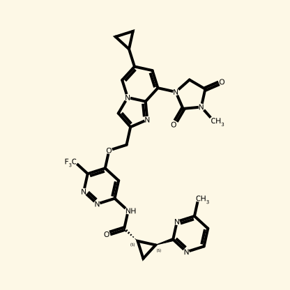 Cc1ccnc([C@H]2C[C@@H]2C(=O)Nc2cc(OCc3cn4cc(C5CC5)cc(N5CC(=O)N(C)C5=O)c4n3)c(C(F)(F)F)nn2)n1